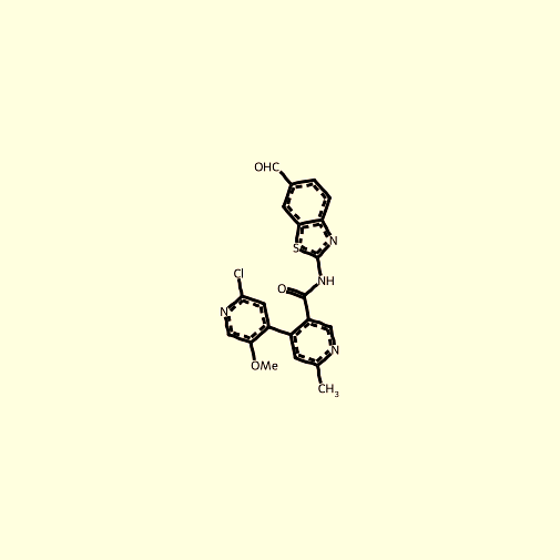 COc1cnc(Cl)cc1-c1cc(C)ncc1C(=O)Nc1nc2ccc(C=O)cc2s1